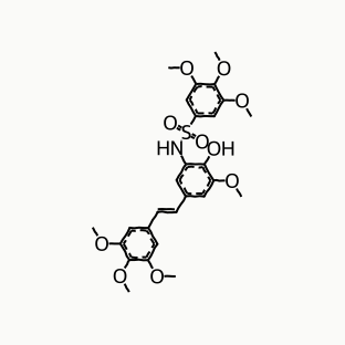 COc1cc(C=Cc2cc(OC)c(OC)c(OC)c2)cc(NS(=O)(=O)c2cc(OC)c(OC)c(OC)c2)c1O